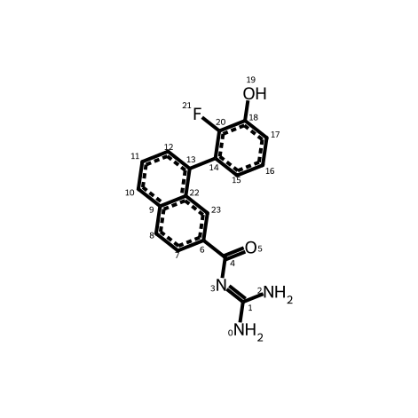 NC(N)=NC(=O)c1ccc2cccc(-c3cccc(O)c3F)c2c1